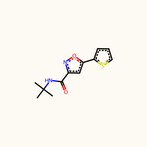 CC(C)(C)NC(=O)c1cc(-c2cccs2)on1